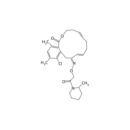 Cc1cc(C)c2c(c1Cl)CC(=N\OCC(=O)N1CCCCC1C)/C=C/CC/C=C/CCOC2=O